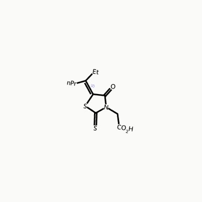 CCC/C(CC)=C1\SC(=S)N(CC(=O)O)C1=O